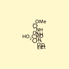 CCOC(CN1C(=O)[C@@](CC(=O)O)(NC(=O)Nc2cccc(OC)c2)c2ccccc21)OCC